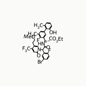 CCOC(=O)C[C@H](NC(=O)C(c1cc(Br)ccc1F)n1cc(CCOC)c(C(F)(F)F)cc1=O)c1cc(-c2c(C)cccc2O)cc(C)c1F